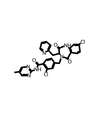 Cc1cnc(NC(=O)c2ccc(CN3C(=O)c4ccc(Cl)cc4NC(=O)C3Cc3ccccn3)cc2Cl)nc1